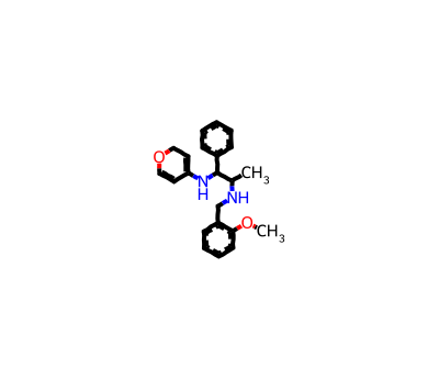 COc1ccccc1CNC(C)C(NC1=CCOC=C1)c1ccccc1